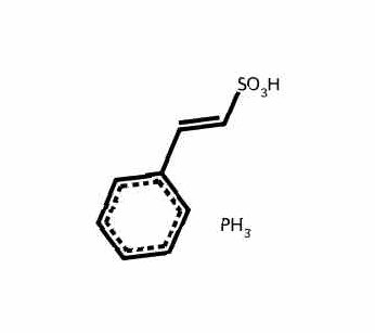 O=S(=O)(O)C=Cc1ccccc1.P